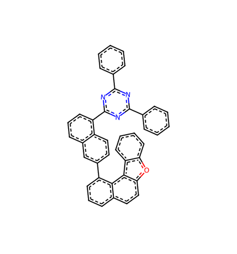 c1ccc(-c2nc(-c3ccccc3)nc(-c3cccc4cc(-c5cccc6ccc7oc8ccccc8c7c56)ccc34)n2)cc1